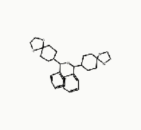 c1ccc(C(OC(c2ccccc2)C2CCC3(CC2)OCCO3)C2CCC3(CC2)OCCO3)cc1